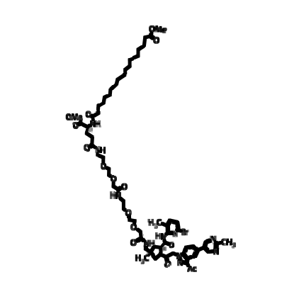 COC(=O)CCCCCCCCCCCCCCCCC(=O)N[C@@H](CCC(=O)NCCOCCOCC(=O)NCCOCCOCC(=O)NC[C@]1(C)CC(C(=O)Cn2nc(C(C)=O)c3cc(-c4cnc(C)nc4)ccc32)[C@H](C(=O)Nc2nc(Br)ccc2C)C1)C(=O)OC